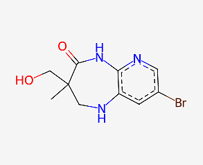 CC1(CO)CNc2cc(Br)cnc2NC1=O